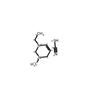 CCN1C=CCN(C)C1.N#CS